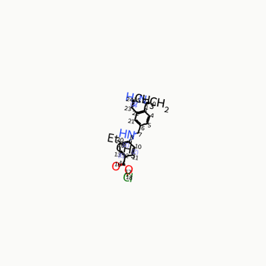 C=C(N)c1ccc(CNC(/C=C\C(=C/C)C(=O)OCl)=C\CC)cc1/C=C\C